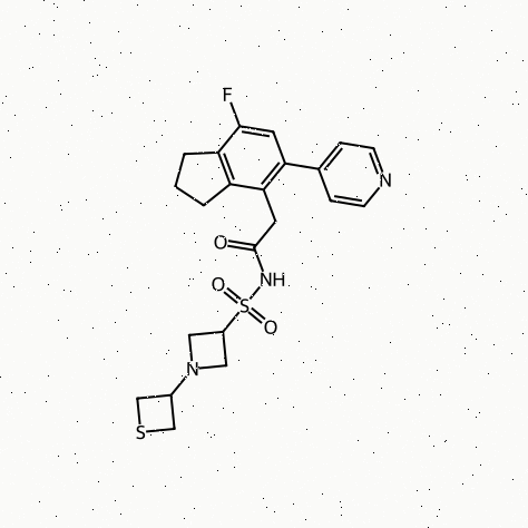 O=C(Cc1c(-c2ccncc2)cc(F)c2c1CCC2)NS(=O)(=O)C1CN(C2CSC2)C1